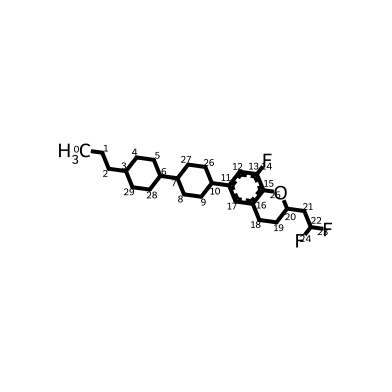 CCCC1CCC(C2CCC(c3cc(F)c4c(c3)CCC(CC(F)F)O4)CC2)CC1